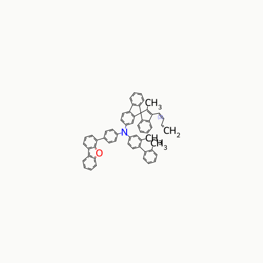 C=C/C=C\C1=C(C)C2(c3ccccc31)c1ccccc1-c1ccc(N(c3ccc(-c4cccc5c4oc4ccccc45)cc3)c3ccc(-c4ccccc4C)c(C)c3)cc12